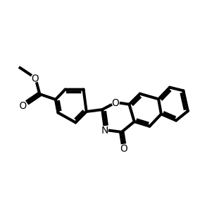 COC(=O)c1ccc(-c2nc(=O)c3cc4ccccc4cc3o2)cc1